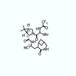 CC(C)(C)C(NC(=O)C(F)(F)F)C(=O)N1C[C@H]2[C@@H]([C@H]1C(=O)N[C@H](C#N)CC1C(=O)NCC3CC1C3)C2(C)C